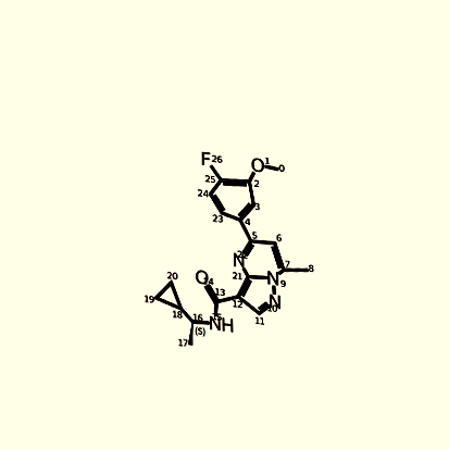 COc1cc(-c2cc(C)n3ncc(C(=O)N[C@@H](C)C4CC4)c3n2)ccc1F